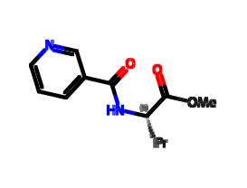 COC(=O)[C@@H](NC(=O)c1cccnc1)C(C)C